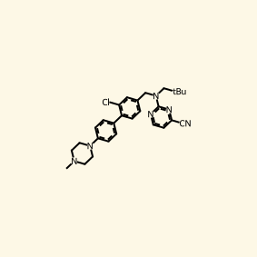 CN1CCN(c2ccc(-c3ccc(CN(CC(C)(C)C)c4nccc(C#N)n4)cc3Cl)cc2)CC1